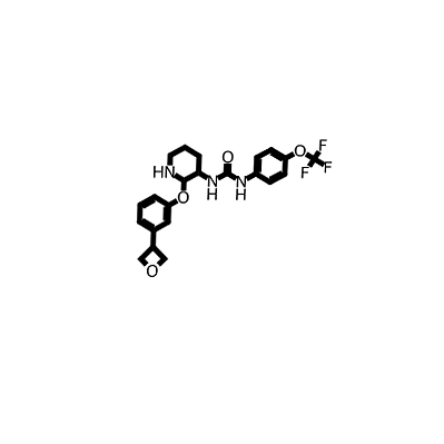 O=C(Nc1ccc(OC(F)(F)F)cc1)NC1CCCNC1Oc1cccc(C2COC2)c1